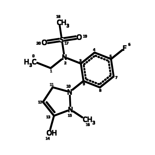 CCN(c1cc(F)ccc1N1CC=C(O)N1C)S(C)(=O)=O